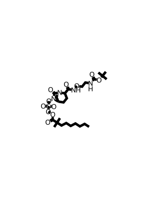 CCCCCCCC(C)(C)C(=O)OOS(=O)(=O)ON1C(=O)N2CC1CCC2C(=O)NOCCNC(=O)OC(C)(C)C